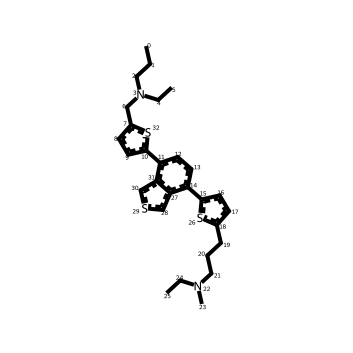 CCCN(CC)Cc1ccc(-c2ccc(-c3ccc(CCCN(C)CC)s3)c3cscc23)s1